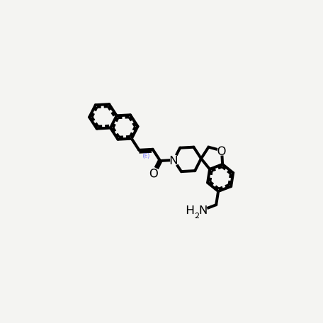 NCc1ccc2c(c1)C1(CCN(C(=O)/C=C/c3ccc4ccccc4c3)CC1)CO2